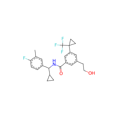 Cc1cc(C(NC(=O)c2cc(CCO)cc(C3(C(F)(F)F)CC3)c2)C2CC2)ccc1F